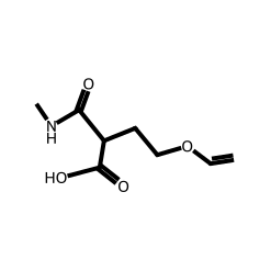 C=COCCC(C(=O)O)C(=O)NC